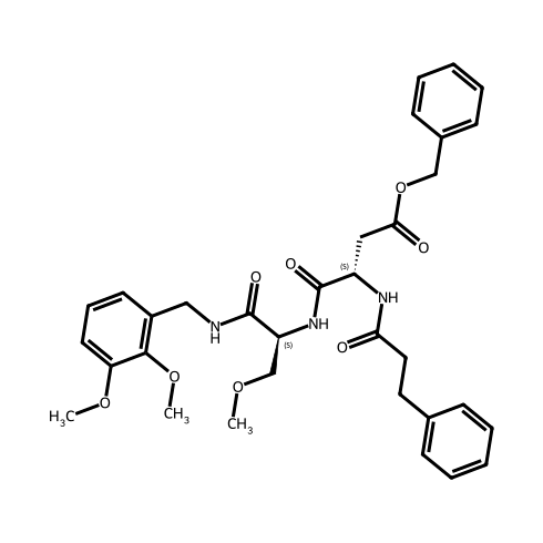 COC[C@H](NC(=O)[C@H](CC(=O)OCc1ccccc1)NC(=O)CCc1ccccc1)C(=O)NCc1cccc(OC)c1OC